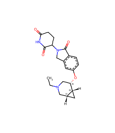 CCN1C[C@H]2C[C@H]2[C@@H](Oc2ccc3c(c2)CN(C2CCC(=O)NC2=O)C3=O)C1